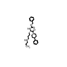 C=CCNCCCC[C@H](NC(=O)OCc1ccccc1)C(=O)N1CCC(c2ccccc2)CC1